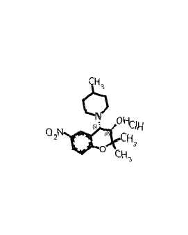 CC1CCN([C@H]2c3cc([N+](=O)[O-])ccc3OC(C)(C)[C@@H]2O)CC1.Cl